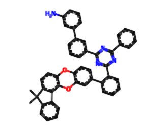 CC1(C)c2ccccc2-c2c1ccc1c2Oc2cc(-c3ccccc3-c3nc(-c4ccccc4)nc(-c4cccc(-c5cccc(N)c5)c4)n3)ccc2O1